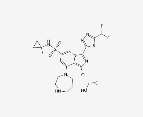 CC1(NS(=O)(=O)c2cc(N3CCCNCC3)c3c(Cl)nc(-c4nnc(C(F)F)s4)n3c2)CC1.O=CO